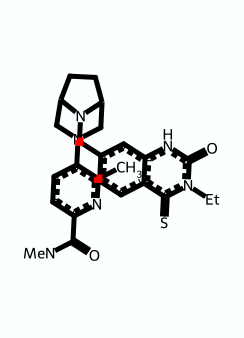 CCn1c(=O)[nH]c2cc(CN3C4CCC3CN(c3ccc(C(=O)NC)nc3C)C4)ccc2c1=S